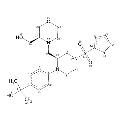 C[C@](O)(c1ccc(N2CCN(S(=O)(=O)c3cccs3)C[C@@H]2CN2CCOC[C@@H]2CO)cc1)C(F)(F)F